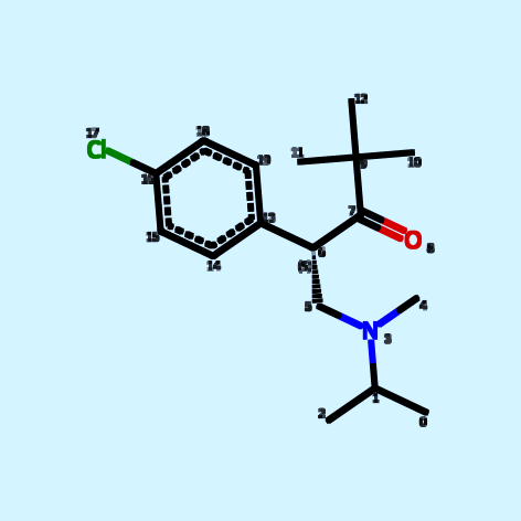 CC(C)N(C)C[C@@H](C(=O)C(C)(C)C)c1ccc(Cl)cc1